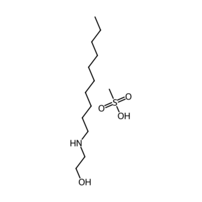 CCCCCCCCCCNCCO.CS(=O)(=O)O